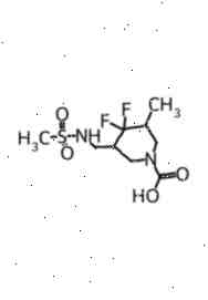 CC1CN(C(=O)O)CC(CNS(C)(=O)=O)C1(F)F